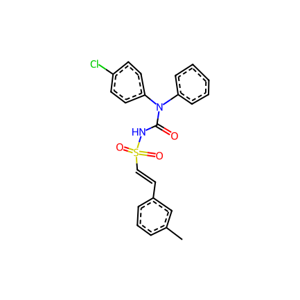 Cc1cccc(/C=C/S(=O)(=O)NC(=O)N(c2ccccc2)c2ccc(Cl)cc2)c1